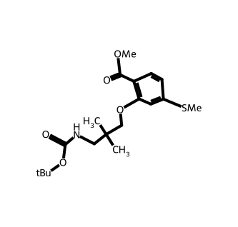 COC(=O)c1ccc(SC)cc1OCC(C)(C)CNC(=O)OC(C)(C)C